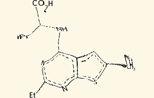 CCc1nc(NC(C(=O)O)C(C)C)c2cc(C)sc2n1